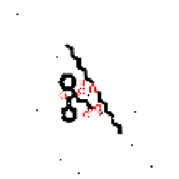 CCCCCCCCOCCCCCCCC.COC(=O)CCC(O)(C(=O)c1ccccc1)c1ccccc1